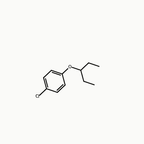 CCC(CC)Oc1ccc(Cl)cc1